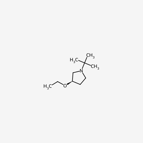 CCO[C@@H]1CCN(C(C)(C)C)C1